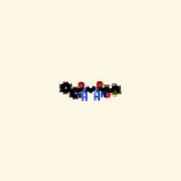 O=C(NCCCNC(=O)c1cc(-c2cccs2)on1)c1cc(-c2ccccc2)ccn1